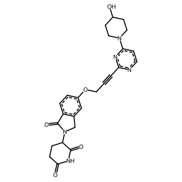 O=C1CCC(N2Cc3cc(OCC#Cc4nccc(N5CCC(O)CC5)n4)ccc3C2=O)C(=O)N1